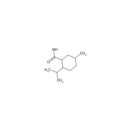 CC1CCC(C(C)C)C(C([NH])=O)C1